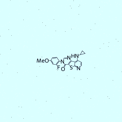 COc1ccc(-n2cnc3c(sc4nccc(NC5CC5)c43)c2=O)c(F)c1